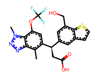 Cc1c([C@H](CC(=O)O)c2cc(CO)c3sccc3c2)cc(OC(F)(F)F)c2c1nnn2C